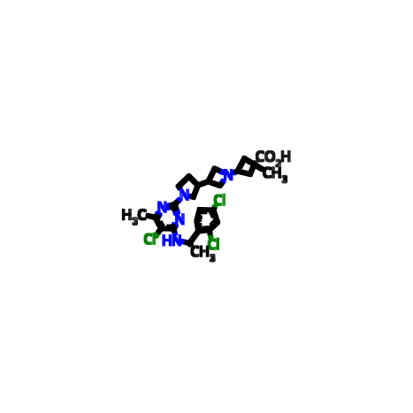 Cc1nc(N2CCC(C3CN(C4CC(C)(C(=O)O)C4)C3)C2)nc(NC(C)c2ccc(Cl)cc2Cl)c1Cl